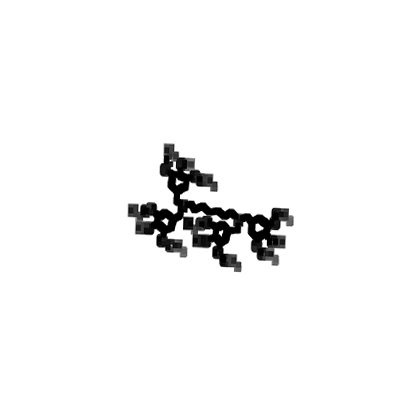 COc1cc(CN(CCCCCCCN(Cc2cc(OC)c(O)c(OC)c2)Cc2cc(OC)c(O)c(OC)c2)Cc2cc(OC)c(O)c(OC)c2)cc(OC)c1O